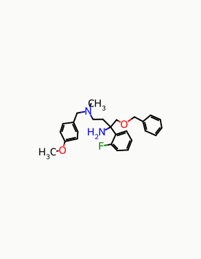 COc1ccc(CN(C)CCC(N)(COCc2ccccc2)c2ccccc2F)cc1